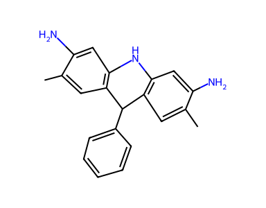 Cc1cc2c(cc1N)Nc1cc(N)c(C)cc1C2c1ccccc1